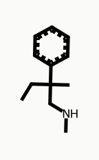 CCC(C)(CNC)c1ccccc1